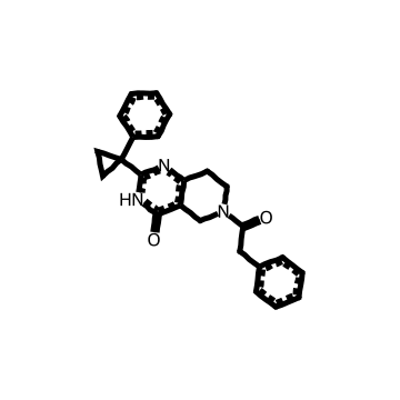 O=C(Cc1ccccc1)N1CCc2nc(C3(c4ccccc4)CC3)[nH]c(=O)c2C1